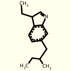 CCC(C)Cc1ccc2c(c1)N=CC2CC